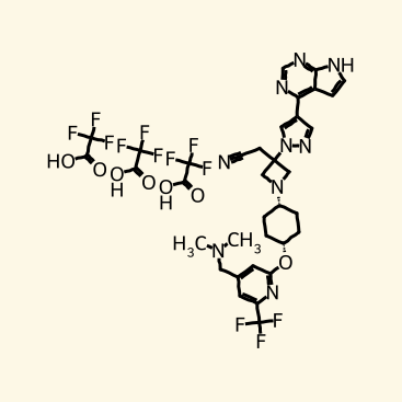 CN(C)Cc1cc(O[C@H]2CC[C@@H](N3CC(CC#N)(n4cc(-c5ncnc6[nH]ccc56)cn4)C3)CC2)nc(C(F)(F)F)c1.O=C(O)C(F)(F)F.O=C(O)C(F)(F)F.O=C(O)C(F)(F)F